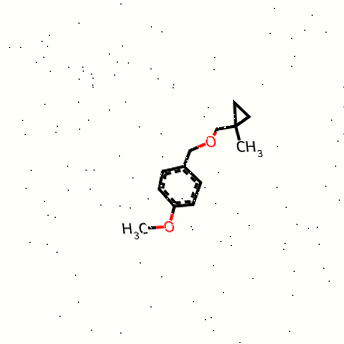 COc1ccc(COCC2(C)CC2)cc1